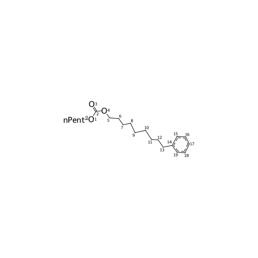 CCCCCOC(=O)OCCCCCCCCCc1ccccc1